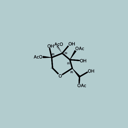 CC(=O)OC(O)[C@H]1O[CH][C@@](O)(OC(C)=O)[C@](O)(OC(C)=O)[C@@]1(O)OC(C)=O